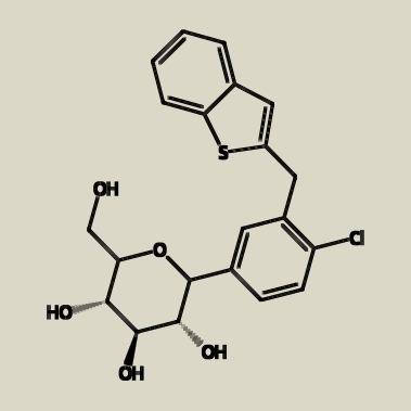 OCC1OC(c2ccc(Cl)c(Cc3cc4ccccc4s3)c2)[C@H](O)[C@@H](O)[C@@H]1O